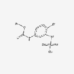 CC(C)OC(=O)Nc1ccc(Br)c(NS(=O)(=O)C(C)(C)C)c1